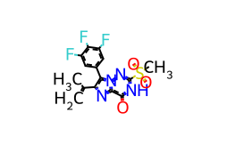 C=C(C)c1nc2c(=O)[nH]c(S(C)(=O)=O)nn2c1-c1cc(F)c(F)c(F)c1